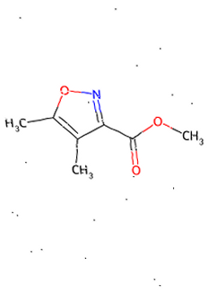 COC(=O)c1noc(C)c1C